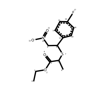 CCOC(=O)C(C)SC(C[N+](=O)[O-])c1ccc(F)cc1